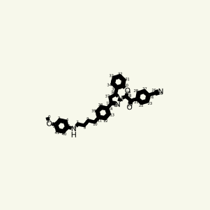 COc1ccc(NCCCCc2ccc(C3=NN4C(C(=O)c5ccc(C#N)cc5)Oc5ccccc5C4C3)cc2)cc1